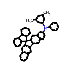 Cc1cc(C)cc(N(c2ccccc2)c2ccc3cc4c(cc3c2)C2(c3ccccc3-c3ccccc32)c2cc3ccccc3cc2-4)c1